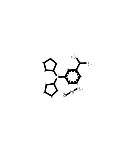 CC(C)c1cccc(P(C2CCCC2)C2CCCC2)c1.[CH3][Pd][Cl]